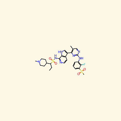 CCC(C1CCN(C)CC1)S(=O)(=O)Nc1nccc2c(-c3nc(Nc4cccc(S(C)(=O)=O)c4F)ncc3C)c[nH]c12